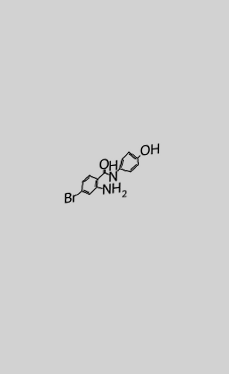 Nc1cc(Br)ccc1C(=O)Nc1ccc(O)cc1